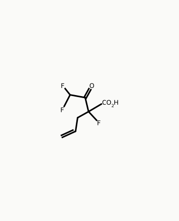 C=CCC(F)(C(=O)O)C(=O)C(F)F